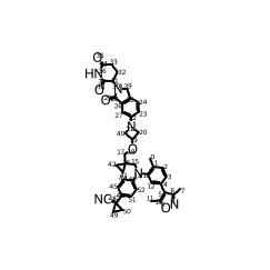 Cc1ccc(-c2c(C)noc2C)cc1N(CC1(COC2CN(c3ccc4c(c3)C(=O)N(C3CCC(=O)NC3=O)C4)C2)CC1)c1ccc(C2(C#N)CC2)cc1